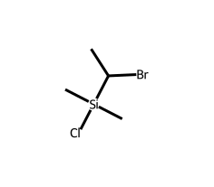 CC(Br)[Si](C)(C)Cl